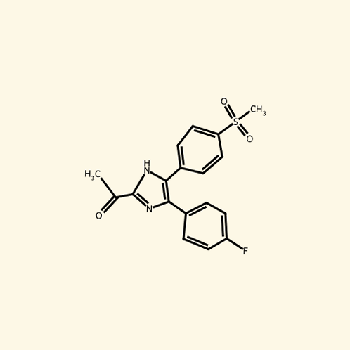 CC(=O)c1nc(-c2ccc(F)cc2)c(-c2ccc(S(C)(=O)=O)cc2)[nH]1